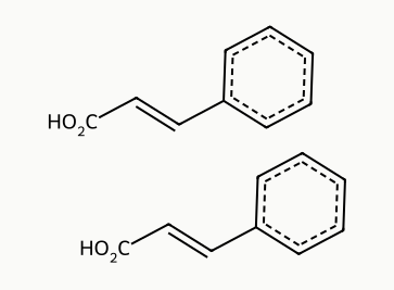 O=C(O)/C=C/c1ccccc1.O=C(O)C=Cc1ccccc1